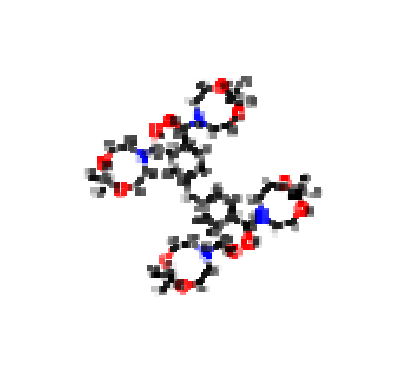 C[Si]1(C)OCCN(C(=O)c2ccc(Cc3ccc(C(=O)N4CCO[Si](C)(C)OCC4)c(C(=O)N4CCO[Si](C)(C)OCC4)c3)cc2C(=O)N2CCO[Si](C)(C)OCC2)CCO1